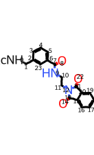 CC(=O)NCc1cccc(C(=O)NCCN2C(=O)c3ccccc3C2=O)c1